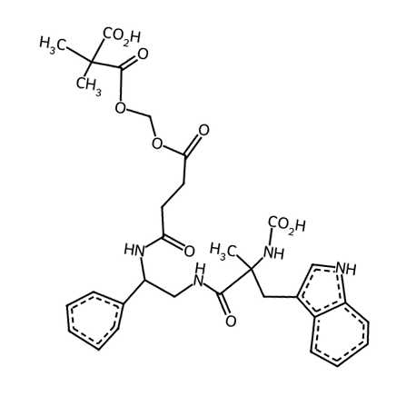 CC(Cc1c[nH]c2ccccc12)(NC(=O)O)C(=O)NCC(NC(=O)CCC(=O)OCOC(=O)C(C)(C)C(=O)O)c1ccccc1